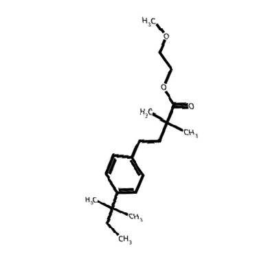 CCC(C)(C)c1ccc(CCC(C)(C)C(=O)OCCOC)cc1